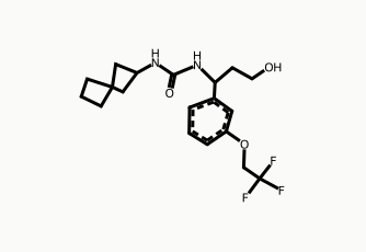 O=C(NC1CC2(CCC2)C1)NC(CCO)c1cccc(OCC(F)(F)F)c1